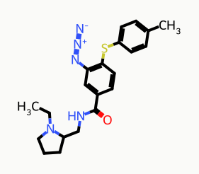 CCN1CCCC1CNC(=O)c1ccc(Sc2ccc(C)cc2)c(N=[N+]=[N-])c1